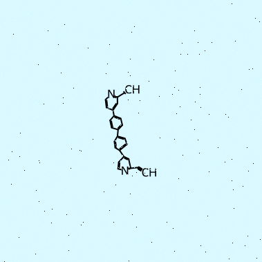 C#Cc1cc(-c2ccc(-c3ccc(-c4ccnc(C#C)c4)cc3)cc2)ccn1